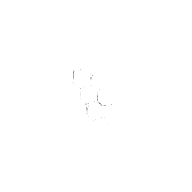 OC1=C(O)C(O)CC=C1CC1C=CCCC1